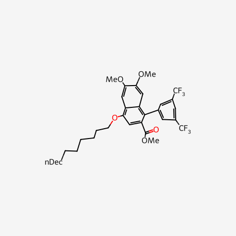 CCCCCCCCCCCCCCCCOc1cc(C(=O)OC)c(-c2cc(C(F)(F)F)cc(C(F)(F)F)c2)c2cc(OC)c(OC)cc12